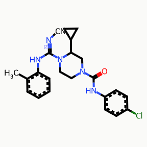 Cc1ccccc1N/C(=N/C#N)N1CCN(C(=O)Nc2ccc(Cl)cc2)CC1C1CC1